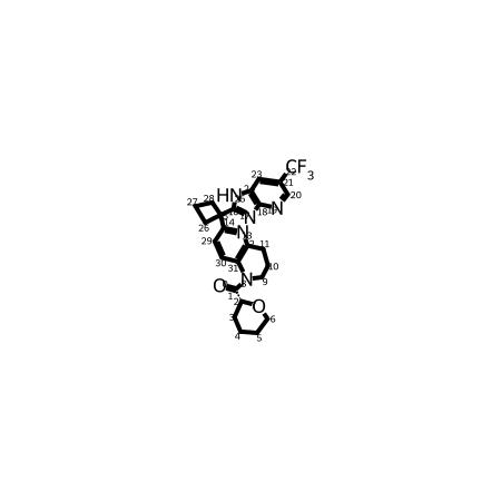 O=C([C@H]1CCCCO1)N1CCCc2nc(C3(c4nc5ncc(C(F)(F)F)cc5[nH]4)CCC3)ccc21